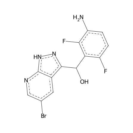 Nc1ccc(F)c(C(O)c2n[nH]c3ncc(Br)cc23)c1F